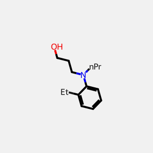 CCCN(CCCO)c1ccccc1CC